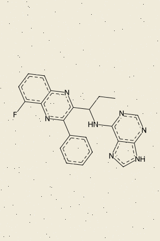 CCC(Nc1ncnc2[nH]cnc12)c1nc2cccc(F)c2nc1-c1ccccc1